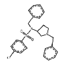 O=S(=O)(c1ccc(Cl)cc1)N(Cc1ccccc1)C1CCN(Cc2ccccc2)C1